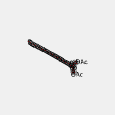 C=C=C=C=C=C=C=C=C=C=C=C=C=C=C=C=C=C=C=C=C=C=C=C=C=C=C=C=C=C=C=C=C=C=C=C(OC(=O)c1ccc(OC(C)=O)cc1)OC(=O)c1ccc(OC(C)=O)cc1